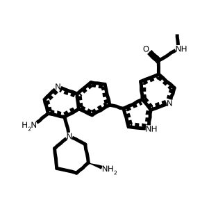 CNC(=O)c1cnc2[nH]cc(-c3ccc4ncc(N)c(N5CCC[C@H](N)C5)c4c3)c2c1